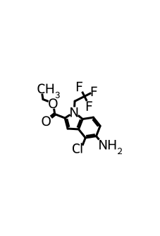 CCOC(=O)c1cc2c(Cl)c(N)ccc2n1CC(F)(F)F